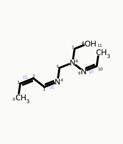 C/C=C\C=N/CN(CO)/N=C\C